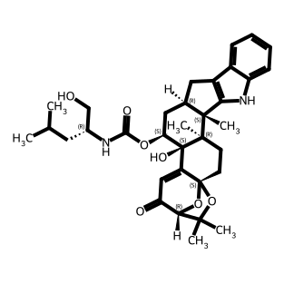 CC(C)C[C@H](CO)NC(=O)O[C@H]1C[C@H]2Cc3c([nH]c4ccccc34)[C@]2(C)[C@@]2(C)CC[C@@]34O[C@@H](C(=O)C=C3[C@]12O)C(C)(C)O4